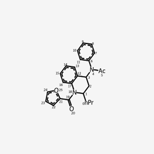 CCCC1CC(N(C(C)=O)c2ccccc2)c2ccccc2N1C(=O)c1ccco1